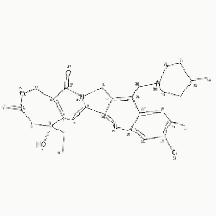 C=C1C[C@](O)(CC)c2cc3n(c(=O)c2CO1)Cc1c-3nc2cc(Cl)c(C)cc2c1CN1CCC(C)CC1